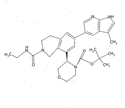 CCNC(=O)N1CCc2cc(-c3cnc4[nH]cc(C)c4c3)cc([C@@H]3COCCN3C(=O)OC(C)(C)C)c2C1